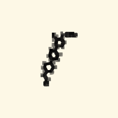 COCc1ccc(-c2ccc(C3CCC(/C=C/Cl)CC3)cc2)cc1F